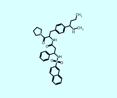 CCCC(NC)c1ccc(CC(NC(=O)CC(NS(=O)(=O)c2ccc3ccccc3c2)c2ccccc2)C(=O)N2CCCC2)cc1